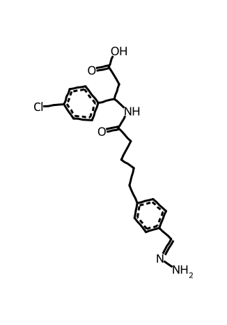 NN=Cc1ccc(CCCCC(=O)NC(CC(=O)O)c2ccc(Cl)cc2)cc1